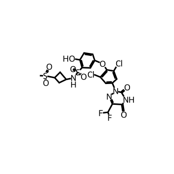 CS(=O)(=O)C1CC(NS(=O)(=O)c2cc(Oc3c(Cl)cc(-n4nc(C(F)F)c(=O)[nH]c4=O)cc3Cl)ccc2O)C1